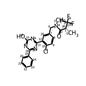 C[C@H](C(=O)N(C)Cc1ccc(Cl)c(-c2nc(O)nc(-c3ccccc3)n2)c1)C(F)(F)F